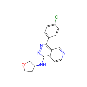 Clc1ccc(-c2nnc(N[C@H]3CCOC3)c3ccncc23)cc1